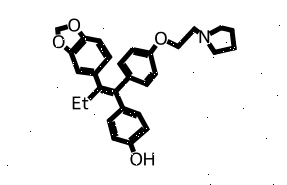 CC/C(=C(\c1ccc(O)cc1)c1ccc(OCCN2CCCC2)cc1)c1ccc2c(c1)OCO2